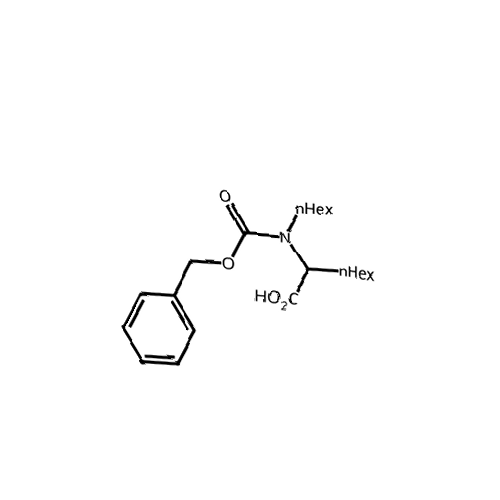 CCCCCCC(C(=O)O)N(CCCCCC)C(=O)OCc1ccccc1